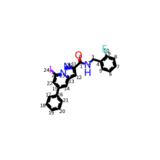 O=C(NCc1ccccc1F)c1cc2cc(-c3ccccc3)cc(I)n2n1